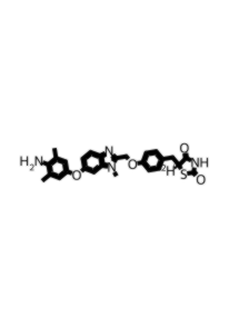 [2H][C@]1(Cc2ccc(OCc3nc4ccc(Oc5cc(C)c(N)c(C)c5)cc4n3C)cc2)SC(=O)NC1=O